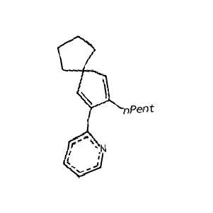 CCCCCC1=CC2(C=C1c1ccccn1)CCCC2